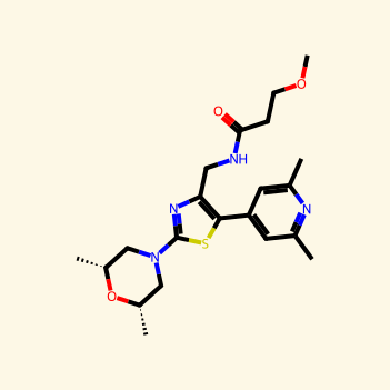 COCCC(=O)NCc1nc(N2C[C@@H](C)O[C@@H](C)C2)sc1-c1cc(C)nc(C)c1